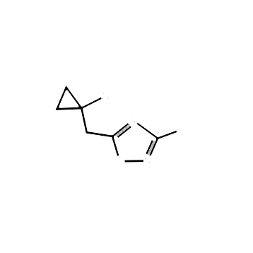 CC(=O)NC1(Cc2nc(C)no2)CC1